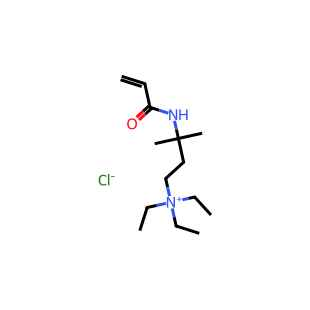 C=CC(=O)NC(C)(C)CC[N+](CC)(CC)CC.[Cl-]